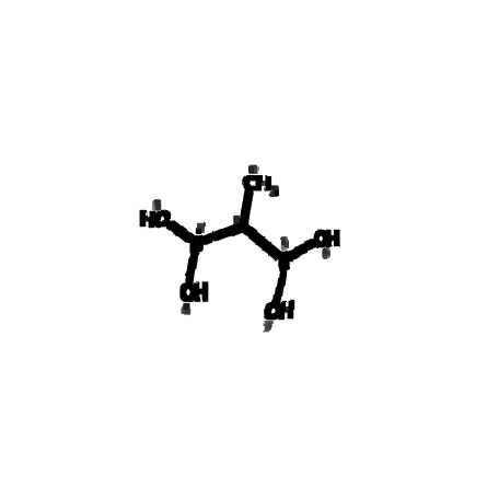 CC(B(O)O)B(O)O